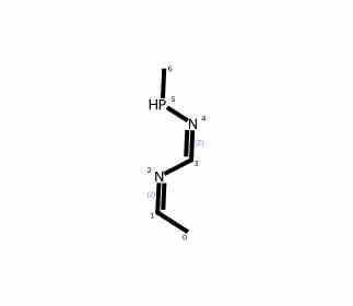 C/C=N\C=N/PC